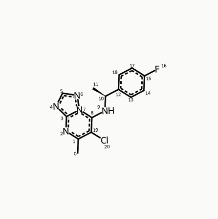 Cc1nc2ncnn2c(N[C@@H](C)c2ccc(F)cc2)c1Cl